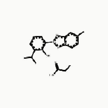 CCC(=O)O.Cc1ccc2nn(-c3cccc(C(C)C)c3O)nc2c1